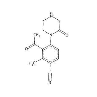 CC(=O)c1c(N2CCNCC2=O)ccc(C#N)c1C